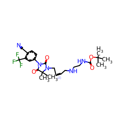 CC(C)(C)OC(=O)NCCNC/C=C\CN1C(=O)N(c2ccc(C#N)c(C(F)(F)F)c2)C(=O)C1(C)C